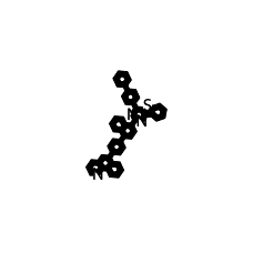 c1ccc(-c2ccc(-c3nc(-c4ccc(-c5ccc(-c6cc7cccnc7c7ccccc67)cc5)c5ccccc45)nc4c3sc3ccccc34)cc2)cc1